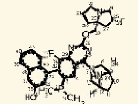 CP(C)c1cc2c(N3C[C@H]4CC[C@@H](C3)N4)nc(OC[C@@]34CCCN3C[C@H](F)C4)nc2c(F)c1-c1cc(O)cc2ccccc12